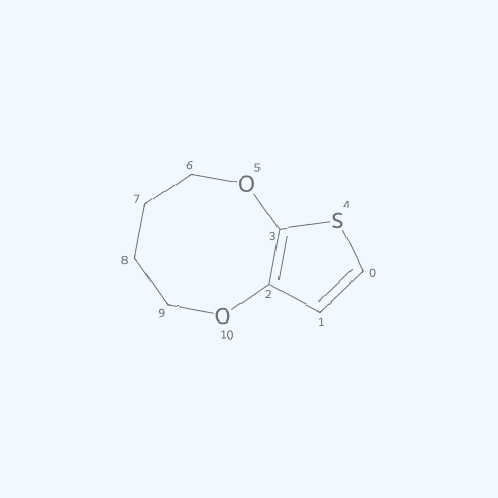 c1cc2c(s1)OCCCCO2